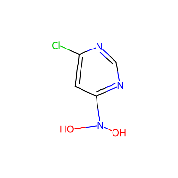 ON(O)c1cc(Cl)ncn1